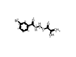 C=C(O)C(=O)ONNC(=O)c1cccc(Br)c1